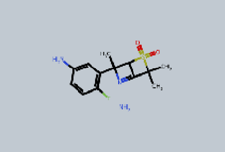 CC1(c2cc(N)ccc2F)N=C2C1S(=O)(=O)C2(C)C.N